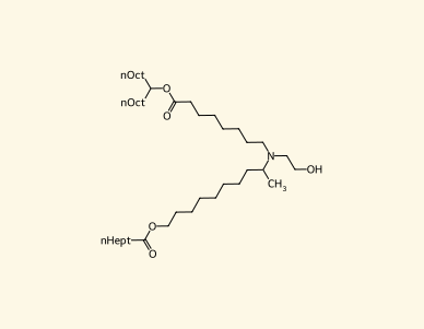 CCCCCCCCC(CCCCCCCC)OC(=O)CCCCCCCN(CCO)C(C)CCCCCCCCOC(=O)CCCCCCC